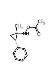 C[C@]1(NOC(=O)C(F)(F)F)C[C@H]1c1ccccc1